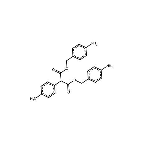 Nc1ccc(COC(=O)[C](C(=O)OCc2ccc(N)cc2)c2ccc(N)cc2)cc1